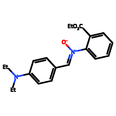 CCOC(=O)c1ccccc1[N+]([O-])=Cc1ccc(N(CC)CC)cc1